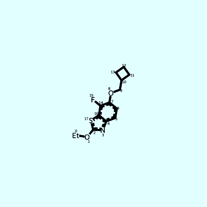 CCOc1nc2ccc(OCC3CCC3)c(F)c2s1